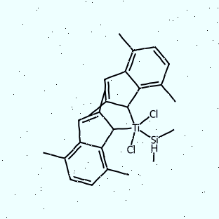 CC1=Cc2c(C)ccc(C)c2[CH]1[Ti]([Cl])([Cl])([CH]1C(C)=Cc2c(C)ccc(C)c21)[SiH](C)C